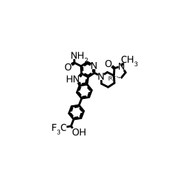 CN1CC[C@@]2(CCCN(c3ncc(C(N)=O)c4[nH]c5cc(-c6ccc(C(O)C(F)(F)F)cc6)ccc5c34)C2)C1=O